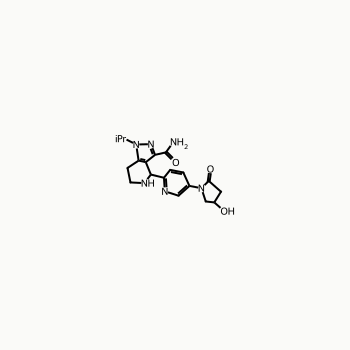 CC(C)n1nc(C(N)=O)c2c1CCNC2c1ccc(N2CC(O)CC2=O)cn1